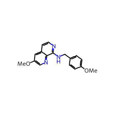 COc1ccc(CNc2nccc3cc(OC)cnc23)cc1